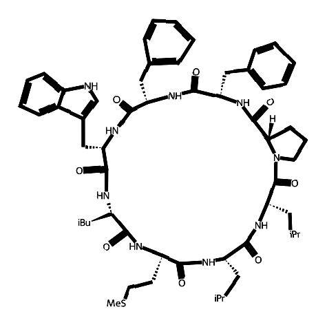 CC[C@H](C)[C@@H]1NC(=O)[C@H](Cc2c[nH]c3ccccc23)NC(=O)[C@H](Cc2ccccc2)NC(=O)[C@H](Cc2ccccc2)NC(=O)[C@@H]2CCCN2C(=O)[C@H](CC(C)C)NC(=O)[C@H](CC(C)C)NC(=O)[C@H](CCSC)NC1=O